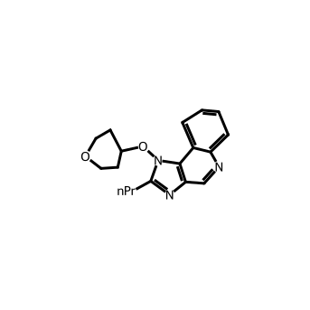 CCCc1nc2cnc3ccccc3c2n1OC1CCOCC1